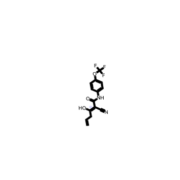 C=CC/C(O)=C(\C#N)C(=O)Nc1ccc(OC(F)(F)F)cc1